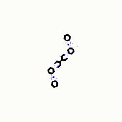 Oc1ccc(-[n+]2ccc(-c3cc[n+](-c4ccc(O)c(-n5nc6ccccc6n5)c4)cc3)cc2)cc1-n1nc2ccccc2n1